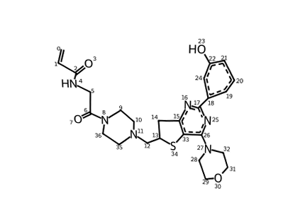 C=CC(=O)NCC(=O)N1CCN(CC2Cc3nc(-c4cccc(O)c4)nc(N4CCOCC4)c3S2)CC1